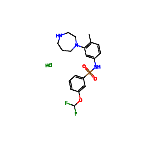 Cc1ccc(NS(=O)(=O)c2cccc(OC(F)F)c2)cc1N1CCCNCC1.Cl